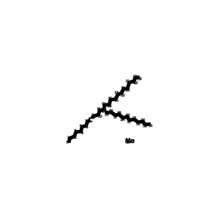 CCCCCCCCCCCCN(CCCCCCCCCCCC)CCCCCCCCCCCC.[Mo]